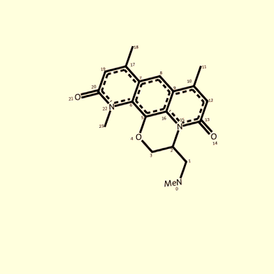 CNCC1COc2c3c(cc4c(C)cc(=O)n1c24)c(C)cc(=O)n3C